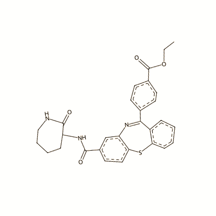 CCOC(=O)c1ccc(C2=Nc3cc(C(=O)NC4CCCCNC4=O)ccc3Sc3ccccc32)cc1